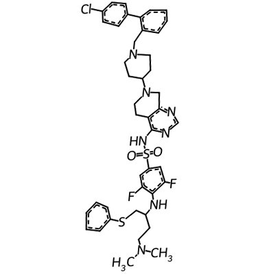 CN(C)CCC(CSc1ccccc1)Nc1c(F)cc(S(=O)(=O)Nc2ncnc3c2CCN(C2CCN(Cc4ccccc4-c4ccc(Cl)cc4)CC2)C3)cc1F